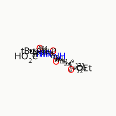 CCc1ccc(C2OC2C(C)CC/C=C/C(=O)NCC(=O)NCC(C)(C)C(=O)N[C@@H](CC(C)(C)C)C(=O)O)cc1